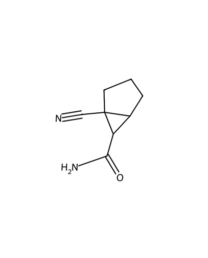 N#CC12CCCC1C2C(N)=O